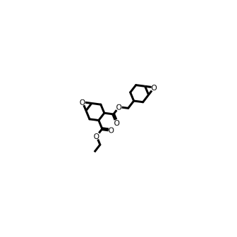 CCOC(=O)C1CC2OC2CC1C(=O)OCC1CCC2OC2C1